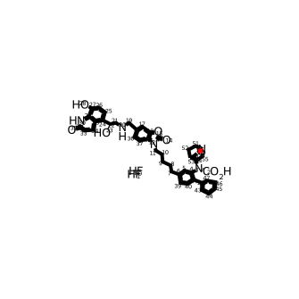 F.F.O=C(O)N(c1cc(CCCCCn2c(=O)oc3cc(CNC[C@H](O)c4ccc(O)c5[nH]c(=O)ccc45)ccc32)ccc1-c1ccccc1)C1CN2CCC1CC2